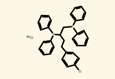 Clc1ccc(CCC(CP(c2ccccc2)c2ccccc2)P(c2ccccc2)c2ccccc2)cc1.[Cl-].[Rh+]